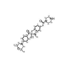 CCC(Cc1ccc(CC(=O)N2CCNCC2)cc1)(C(=O)c1ccc(N2CC(C)OC(C)C2)cc1)N(C)C